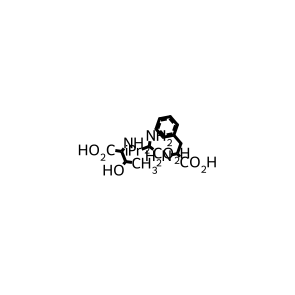 CC(C)C(N)C(=O)O.CC(O)C(N)C(=O)O.NC(Cc1ccccc1)C(=O)O